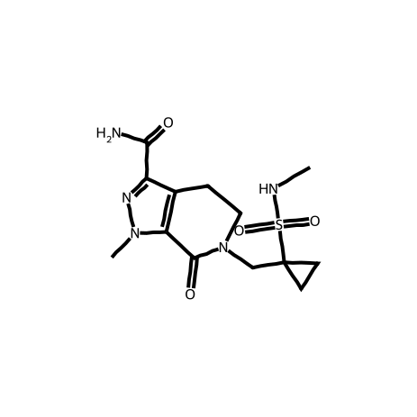 CNS(=O)(=O)C1(CN2CCc3c(C(N)=O)nn(C)c3C2=O)CC1